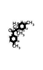 Cc1ccc(C(=O)C(C)(C)c2ccc(C)cc2)cc1